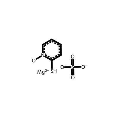 O=S(=O)([O-])[O-].[Mg+2].[O-][n+]1ccccc1S